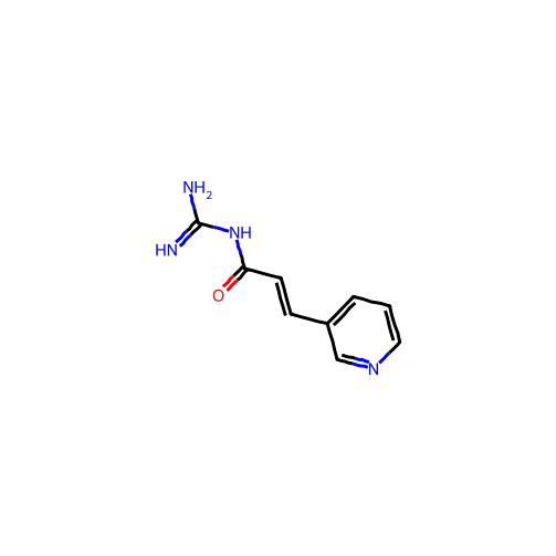 N=C(N)NC(=O)/C=C/c1cccnc1